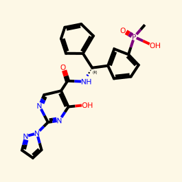 CP(=O)(O)c1cccc([C@H](NC(=O)c2cnc(-n3cccn3)nc2O)c2ccccc2)c1